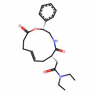 CCN(CC)C(=O)C[C@@H]1C/C=C/CCC(=O)O[C@H](c2ccccc2)CNC1=O